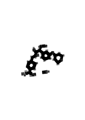 CO[C@H](C(=O)NCc1ccc(C(=N)N)cc1)c1cccc(OC2CCOCC2)c1.Cl